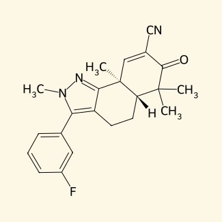 Cn1nc2c(c1-c1cccc(F)c1)CC[C@H]1C(C)(C)C(=O)C(C#N)=C[C@]21C